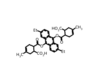 CCc1ccc2c(OC(=O)C3CC=C(C)CC3C(=O)O)c3cc(CC)ccc3c(OC(=O)C3CC=C(C)CC3C(=O)O)c2c1